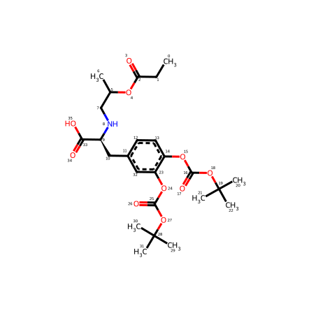 CCC(=O)OC(C)CN[C@@H](Cc1ccc(OC(=O)OC(C)(C)C)c(OC(=O)OC(C)(C)C)c1)C(=O)O